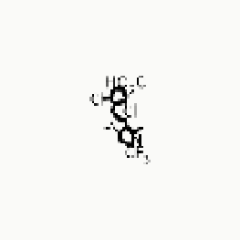 Cc1nc(C(F)(F)F)cc2c1cc(Cc1c(Cl)ccc(C(=O)O)c1Cl)n2C